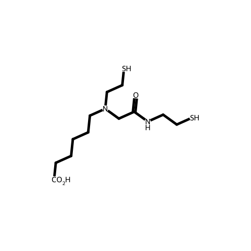 O=C(O)CCCCCN(CCS)CC(=O)NCCS